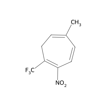 CC1=CCC(C(F)(F)F)=C([N+](=O)[O-])C=C1